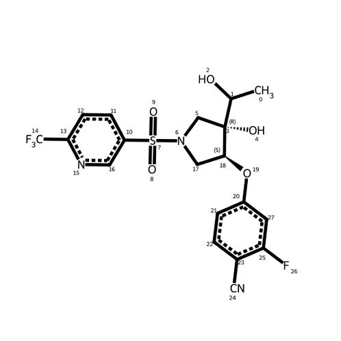 CC(O)[C@]1(O)CN(S(=O)(=O)c2ccc(C(F)(F)F)nc2)C[C@@H]1Oc1ccc(C#N)c(F)c1